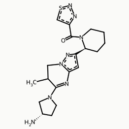 CC1Cn2nc([C@@H]3CCCCN3C(=O)c3csnn3)cc2N=C1N1CC[C@H](N)C1